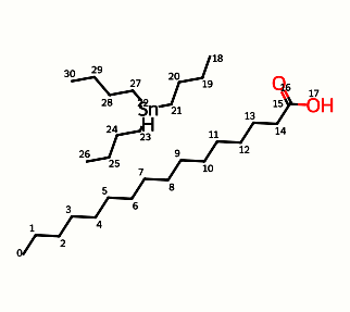 CCCCCCCCCCCCCCCC(=O)O.CCC[CH2][SnH]([CH2]CCC)[CH2]CCC